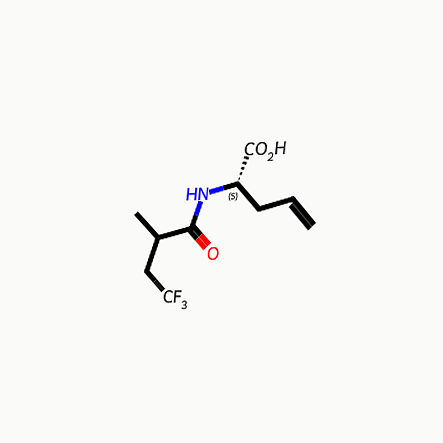 C=CC[C@H](NC(=O)C(C)CC(F)(F)F)C(=O)O